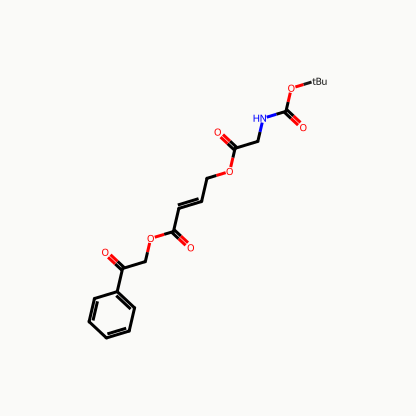 CC(C)(C)OC(=O)NCC(=O)OC/C=C/C(=O)OCC(=O)c1ccccc1